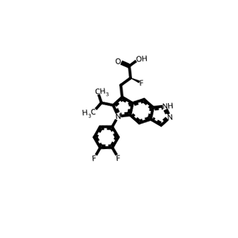 CC(C)c1c(C[C@H](F)C(=O)O)c2cc3[nH]ncc3cc2n1-c1ccc(F)c(F)c1